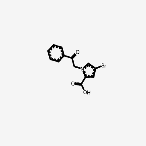 O=C(Cn1cc(Br)cc1C(=O)O)c1ccccc1